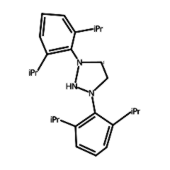 CC(C)c1cccc(C(C)C)c1N1[C]CN(c2c(C(C)C)cccc2C(C)C)N1